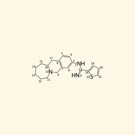 N=C(Nc1ccc2c(c1)CN1CCCCCC1C2)c1cccs1